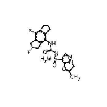 C[C@@H]1Cn2ncc([S@@](N)(=O)=NC(=O)Nc3c4c(c(F)c5c3C[C@H](F)C5)CCC4)c2O1